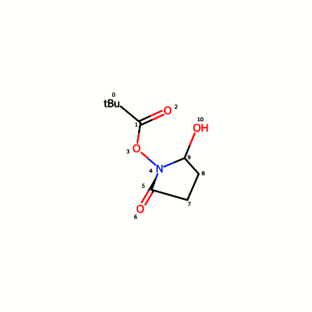 CC(C)(C)C(=O)ON1C(=O)CCC1O